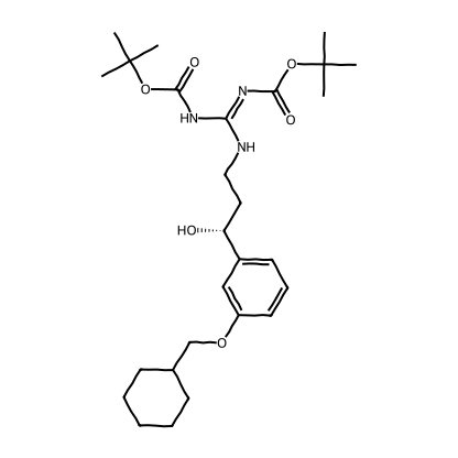 CC(C)(C)OC(=O)/N=C(\NCC[C@@H](O)c1cccc(OCC2CCCCC2)c1)NC(=O)OC(C)(C)C